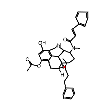 CC(=O)Oc1cc(O)c2c3c1C[C@@H]1[C@@H]4CC[C@H](N(C)C(=O)C=Cc5ccccc5)[C@H](O2)[C@]34CCN1CCc1ccccc1